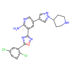 Nc1ncc(-c2cnn(C3CCNCC3)c2)cc1-c1noc(-c2cc(Cl)ccc2Cl)n1